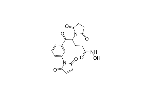 O=C(CCC(C(=O)c1cccc(N2C(=O)C=CC2=O)c1)N1C(=O)CCC1=O)NO